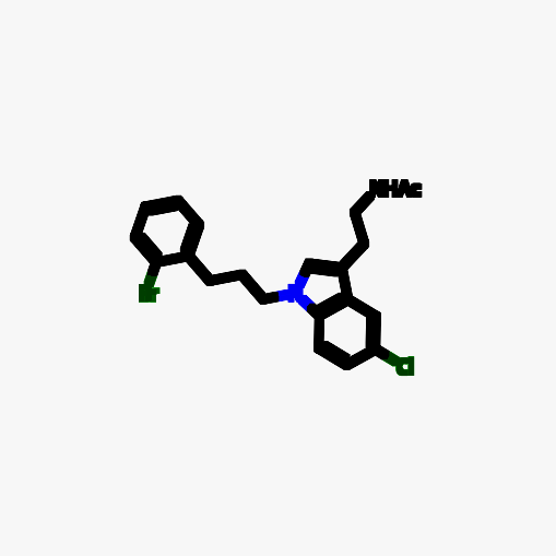 CC(=O)NCCc1cn(CCCc2ccccc2Br)c2ccc(Cl)cc12